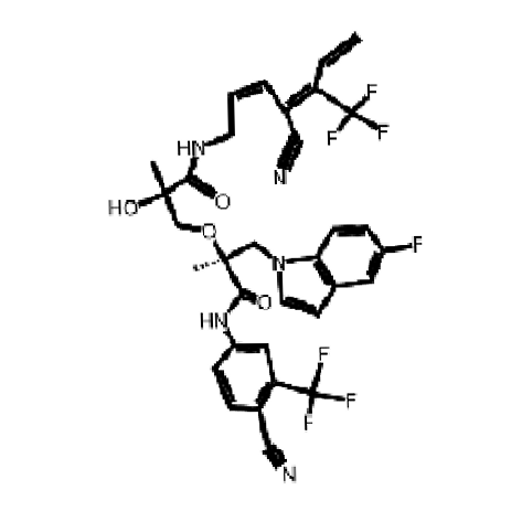 C=C/C(=C(C#N)\C=C/CNC(=O)C(C)(O)CO[C@@](C)(Cn1ccc2cc(F)ccc21)C(=O)Nc1ccc(C#N)c(C(F)(F)F)c1)C(F)(F)F